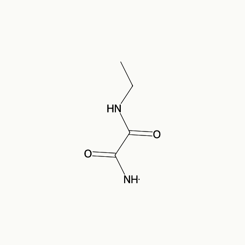 CCNC(=O)C([NH])=O